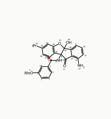 COc1cccc(C(=O)NC23C(=O)c4c(N)cccc4C2(O)Oc2cc(C(C)C)ccc23)c1